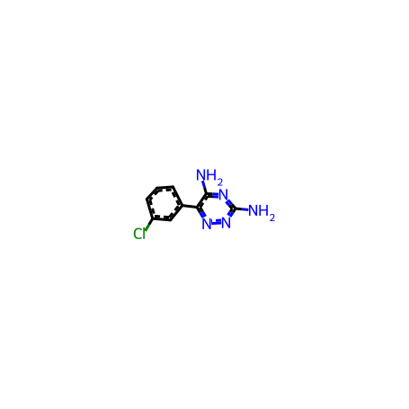 Nc1nnc(-c2cccc(Cl)c2)c(N)n1